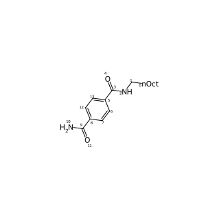 CCCCCCCCCNC(=O)c1ccc(C(N)=O)cc1